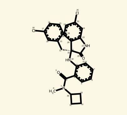 CN(C(=O)c1ccccc1N[C@]1(Cc2cccc(Cl)c2)C(=O)Nc2cc(Cl)ccc21)C1CCC1